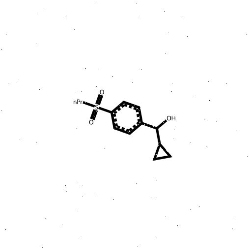 CCCS(=O)(=O)c1ccc(C(O)C2CC2)cc1